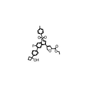 CCOC(=O)C1C=C(c2cn(S(=O)(=O)c3ccc(C)cc3)c3cc(F)c(-c4ccc(C5(O)CCC5)cc4)cc23)CO1